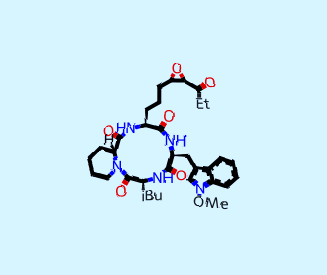 CCC(=O)C1OC1CCC[C@@H]1NC(=O)[C@H]2CCCCN2C(=O)[C@H](C(C)CC)NC(=O)[C@H](Cc2cn(OC)c3ccccc23)NC1=O